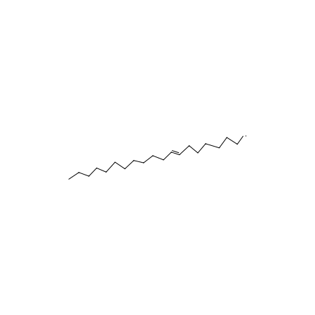 [CH2]CCCCCCC=CCCCCCCCCCCC